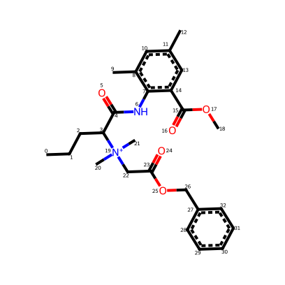 CCCC(C(=O)Nc1c(C)cc(C)cc1C(=O)OC)[N+](C)(C)CC(=O)OCc1ccccc1